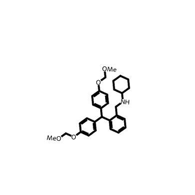 COCOc1ccc(C(c2ccc(OCOC)cc2)c2ccccc2CNC2CCCCC2)cc1